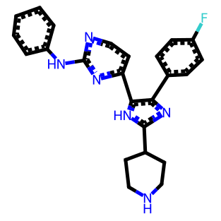 Fc1ccc(-c2nc(C3CCNCC3)[nH]c2-c2ccnc(Nc3ccccc3)n2)cc1